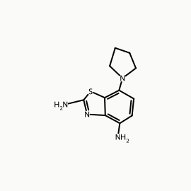 Nc1nc2c(N)ccc(N3CCCC3)c2s1